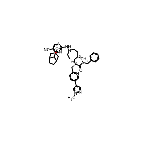 C[C@@H]1CCN(Nc2ncc(C#N)c(C3C4CCC3CC(O)C4)n2)CC[C@H]1[C@H](Cc1ccc(-c2cnn(C)c2)cn1)C(=O)SCc1ccccc1